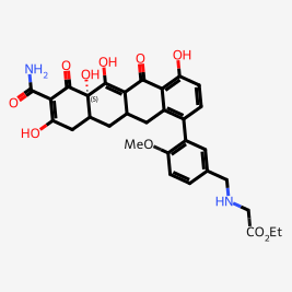 CCOC(=O)CNCc1ccc(OC)c(-c2ccc(O)c3c2CC2CC4CC(O)=C(C(N)=O)C(=O)[C@@]4(O)C(O)=C2C3=O)c1